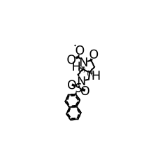 COC(=O)N1C(=O)C[C@@H]2CN(S(=O)(=O)c3ccc4ccccc4c3)C[C@H]21